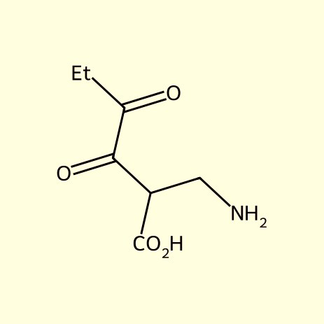 CCC(=O)C(=O)C(CN)C(=O)O